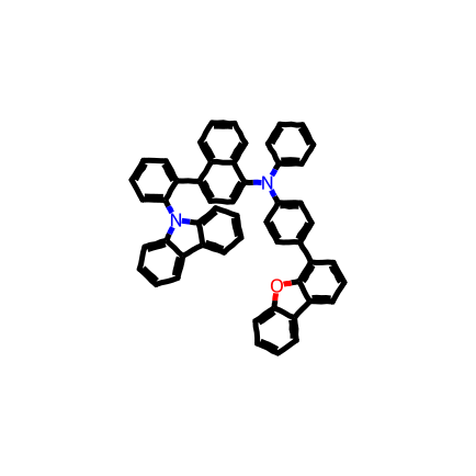 c1ccc(N(c2ccc(-c3cccc4c3oc3ccccc34)cc2)c2ccc(-c3ccccc3-n3c4ccccc4c4ccccc43)c3ccccc23)cc1